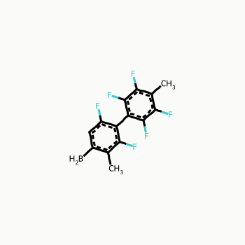 Bc1cc(F)c(-c2c(F)c(F)c(C)c(F)c2F)c(F)c1C